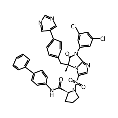 C[C@@]1(Cc2ccc(-c3cncnc3)cc2)C(=O)N(c2cc(Cl)cc(Cl)c2)c2ncc(S(=O)(=O)N3CCC[C@H]3C(=O)Nc3ccc(-c4ccccc4)cc3)n21